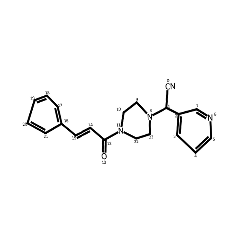 N#CC(c1cccnc1)N1CCN(C(=O)C=Cc2ccccc2)CC1